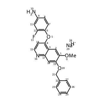 COc1cc2c(Oc3ccc(N)cc3F)ccnc2cc1OCc1ccccc1.[H-].[Na+]